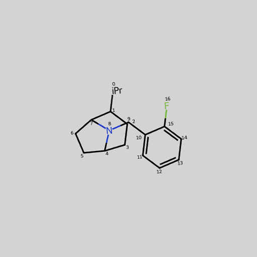 CC(C)C1CCC2CCC1N2Cc1ccccc1F